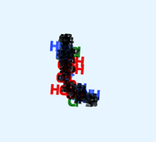 O=[N+](OCC1OC(n2cnc3c(NC4CCCCC4)nc(Cl)nc32)C(O)C1O)OCC1OC(n2cnc3c(NC4CCCCC4)nc(Cl)nc32)C(O)C1O